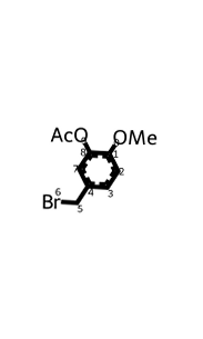 COc1ccc(CBr)cc1OC(C)=O